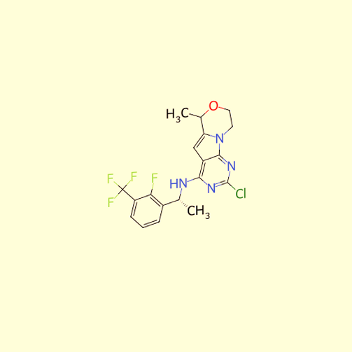 CC1OCCn2c1cc1c(N[C@H](C)c3cccc(C(F)(F)F)c3F)nc(Cl)nc12